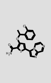 CC(Oc1cc(-c2cnc3cnccn23)sc1C(N)=O)c1ccccc1Cl